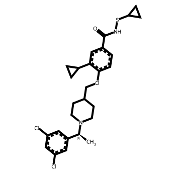 C[C@@H](c1cc(Cl)cc(Cl)c1)N1CCC(COc2ccc(C(=O)NSC3CC3)cc2C2CC2)CC1